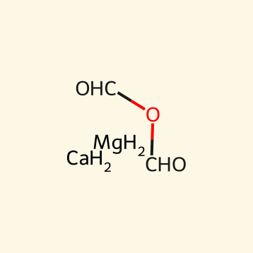 O=COC=O.[CaH2].[MgH2]